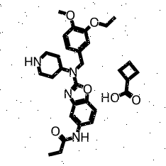 CCOc1cc(CN(c2nc3cc(NC(=O)CC)ccc3o2)C2CCNCC2)ccc1OC.O=C(O)C1CCC1